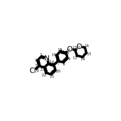 Clc1ccnc2c(-c3ccc(OC4CCCCO4)cc3)cccc12